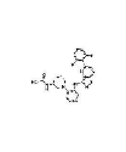 O=C(O)NC1CCCN(c2ccncc2Nc2ncc3ccc(-c4c(F)cccc4F)nn23)C1